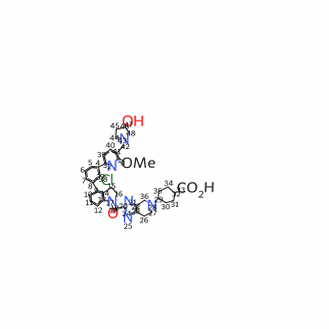 COc1nc(-c2cccc(-c3cccc4c3CCN4C(=O)c3nc4c(n3C)CCN(C3CCC(C(=O)O)CC3)C4)c2Cl)ccc1CN1CC[C@@H](O)C1